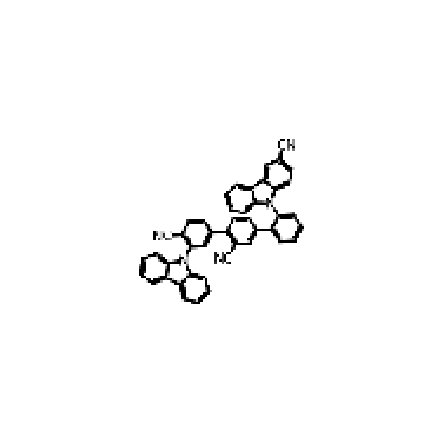 N#Cc1ccc2c(c1)c1ccccc1n2-c1ccccc1-c1ccc(-c2ccc(C#N)c(-n3c4ccccc4c4ccccc43)c2)c(C#N)c1